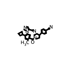 Cc1cc(C2CCC2)c(-n2cncc2C#N)cc1C(=O)N1CCC(c2ccc(C#N)cc2)CC1